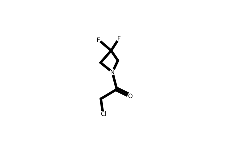 O=C(CCl)N1CC(F)(F)C1